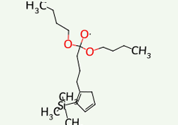 CCCCOC([O])(CCCC1=C([Si](C)(C)C)C=CC1)OCCCC